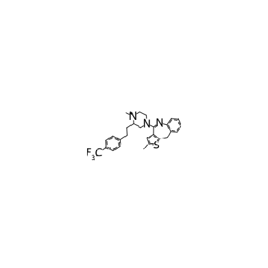 Cc1cc2c(s1)Cc1ccccc1N=C2N1CCN(C)C(CCc2ccc(C(F)(F)F)cc2)C1